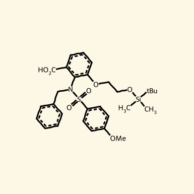 COc1ccc(S(=O)(=O)N(Cc2ccccc2)c2c(OCCO[Si](C)(C)C(C)(C)C)cccc2C(=O)O)cc1